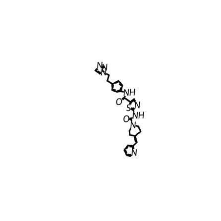 O=C(Nc1ccc(CCn2ccnn2)cc1)c1cnc(NC(=O)N2CCC(=Cc3ccccn3)CC2)s1